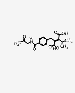 CC(C)C(C(=O)O)=C(Cc1ccc(C(=O)NCC(N)=O)cc1)C(=O)O